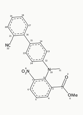 COC(=O)c1cccc([N+](=O)[O-])c1N(C)c1ccc(-c2ccccc2C#N)cc1